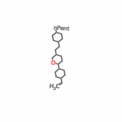 C=CC1CCC(C2CCC(CCC3CCC(CCCCC)CC3)CO2)CC1